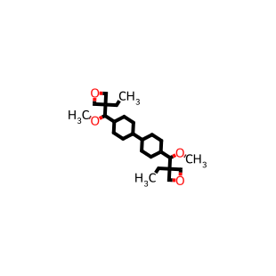 CCC1(C(OC)C2CCC(C3CCC(C(OC)C4(CC)COC4)CC3)CC2)COC1